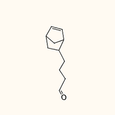 O=CCCCC1CC2C=CC1C2